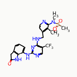 Cc1c(CNc2nc(Nc3cccc4c3NC(=O)C4)ncc2C(F)(F)F)ccnc1N(C)S(C)(=O)=O